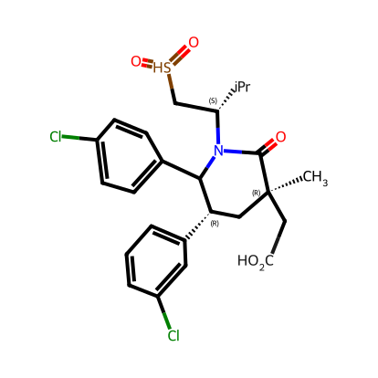 CC(C)[C@@H](C[SH](=O)=O)N1C(=O)[C@@](C)(CC(=O)O)C[C@H](c2cccc(Cl)c2)C1c1ccc(Cl)cc1